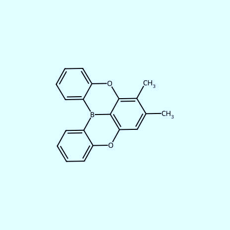 Cc1cc2c3c(c1C)Oc1ccccc1B3c1ccccc1O2